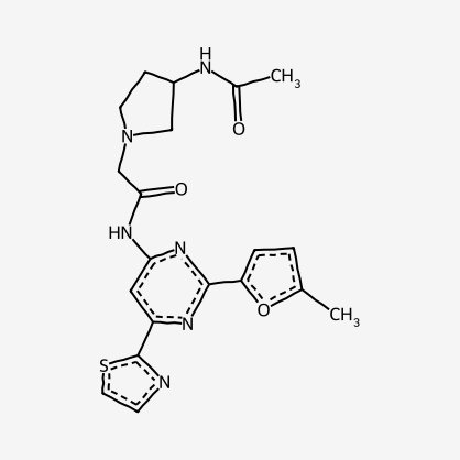 CC(=O)NC1CCN(CC(=O)Nc2cc(-c3nccs3)nc(-c3ccc(C)o3)n2)C1